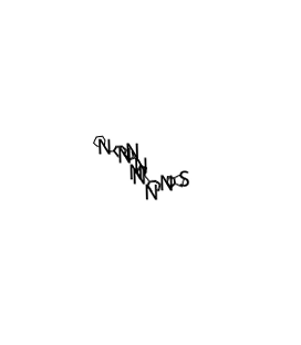 c1cc2nc(Cn3cc(-c4cncc(-n5cc6c(c5)CSC6)c4)nn3)cn2cc1CN1CCCCC1